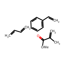 C=C(C)C(=O)OC.C=CC=C.C=Cc1ccccc1